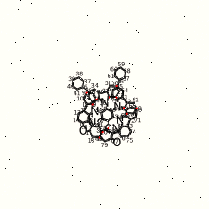 N#Cc1c(C#N)c(-n2c3ccccc3c3ccc4oc5ccccc5c4c32)c(-n2c3ccccc3c3cc(-c4ccccc4)ccc32)c(-n2c3ccccc3c3cc(-c4ccccc4)ccc32)c1-n1c2ccccc2c2ccc3oc4ccccc4c3c21